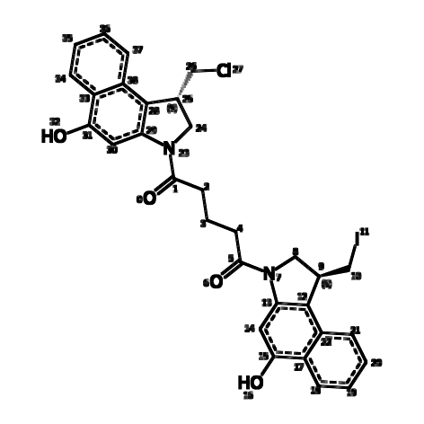 O=C(CCCC(=O)N1C[C@@H](CI)c2c1cc(O)c1ccccc21)N1C[C@@H](CCl)c2c1cc(O)c1ccccc21